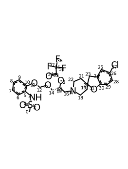 CS(=O)(=O)Nc1ccccc1OCOC[C@@H](CN1CCC2(CC1)Cc1cc(Cl)ccc1O2)OC(=O)C(F)(F)F